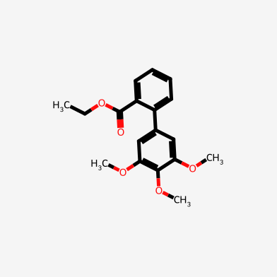 CCOC(=O)c1ccccc1-c1cc(OC)c(OC)c(OC)c1